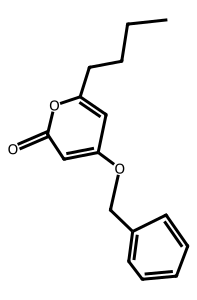 CCCCc1cc(OCc2ccccc2)cc(=O)o1